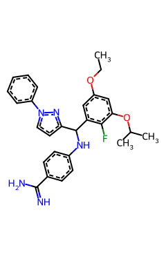 CCOc1cc(OC(C)C)c(F)c(C(Nc2ccc(C(=N)N)cc2)c2ccn(-c3ccccc3)n2)c1